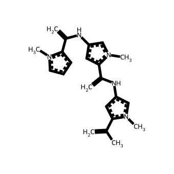 C=C(C)c1cc(NC(=C)c2cc(NC(=C)c3cccn3C)cn2C)cn1C